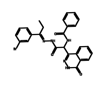 CC/C(=N\NC(=O)C(NC(=O)c1ccccc1)c1n[nH]c(=O)c2ccccc12)c1cccc(Br)c1